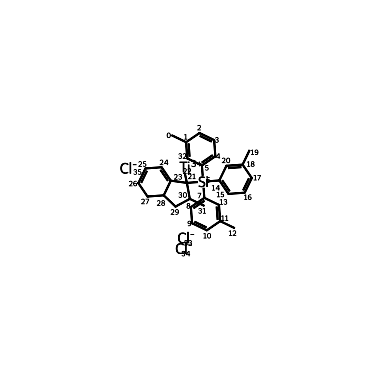 Cc1cccc([Si](c2cccc(C)c2)(c2cccc(C)c2)[C]2([Ti+3])C3=CC=CCC3CC2C)c1.[Cl-].[Cl-].[Cl-]